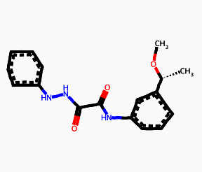 CO[C@H](C)c1cccc(NC(=O)C(=O)NNc2ccccc2)c1